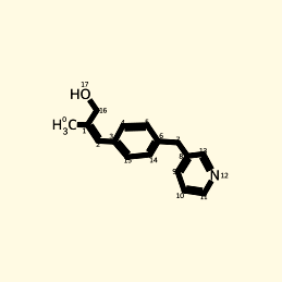 CC(=Cc1ccc(Cc2cccnc2)cc1)CO